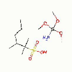 CCCC(C)C(C)(C)S(=O)(=O)O.CO[Si](N)(OC)OC